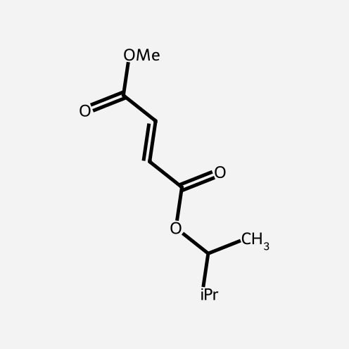 COC(=O)/C=C/C(=O)OC(C)C(C)C